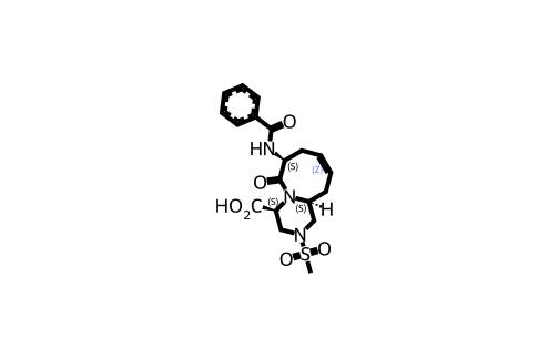 CS(=O)(=O)N1C[C@@H]2C/C=C\C[C@H](NC(=O)c3ccccc3)C(=O)N2[C@H](C(=O)O)C1